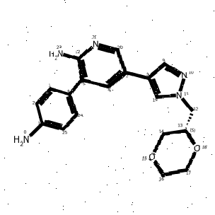 Nc1ccc(-c2cc(-c3cnn(C[C@H]4COCCO4)c3)cnc2N)cc1